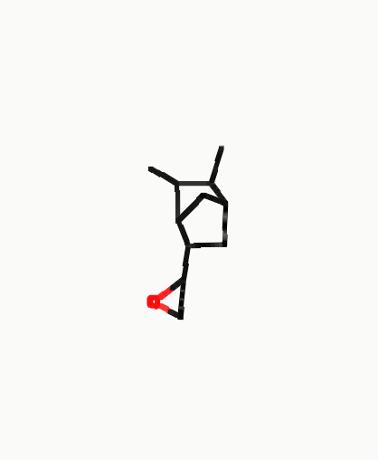 CC1C2CC(C3CO3)C(C2)C1C